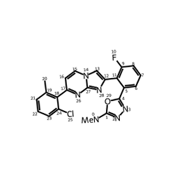 CNc1nnc(-c2cccc(F)c2-c2[c]n3ccc(-c4c(C)cccc4Cl)nc3n2)o1